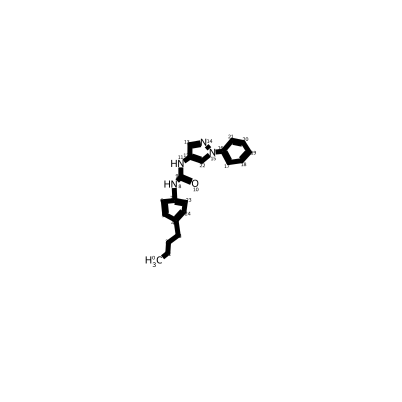 CCCCc1ccc(NC(=O)Nc2cnn(-c3ccccc3)c2)cc1